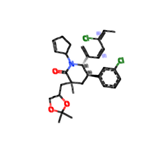 C=C(/C=C\C(Cl)=C/C)[C@@H]1[C@@H](c2cccc(Cl)c2)CC(C)(CC2COC(C)(C)O2)C(=O)N1C1C=CCC1